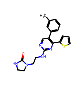 Cc1cccc(-c2cnc(NCCN3CCNC3=O)nc2-c2cccs2)c1